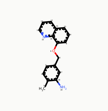 Cc1ccc(COc2cccc3cccnc23)cc1N